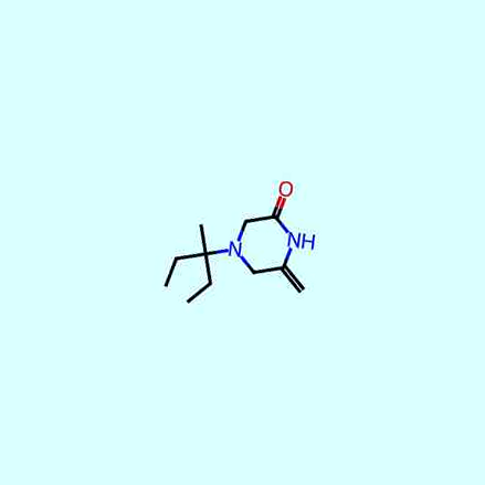 C=C1CN(C(C)(CC)CC)CC(=O)N1